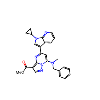 COC(=O)c1cnn2c(N(C)Cc3ccccc3)cc(-c3cn(C4CC4)c4ncccc34)nc12